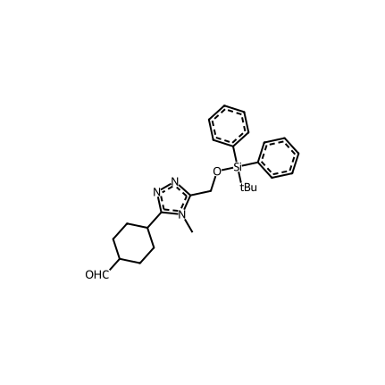 Cn1c(CO[Si](c2ccccc2)(c2ccccc2)C(C)(C)C)nnc1C1CCC(C=O)CC1